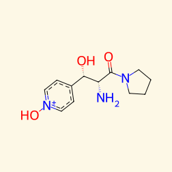 N[C@@H](C(=O)N1CCCC1)[C@@H](O)c1cc[n+](O)cc1